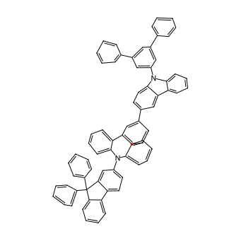 c1ccc(-c2cc(-c3ccccc3)cc(-n3c4ccccc4c4cc(-c5cccc(-c6ccccc6N(c6ccccc6)c6ccc7c(c6)C(c6ccccc6)(c6ccccc6)c6ccccc6-7)c5)ccc43)c2)cc1